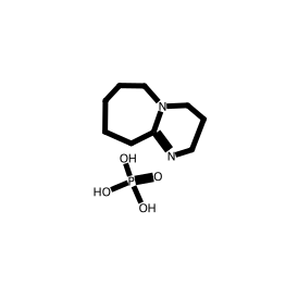 C1CCC2=NCCCN2CC1.O=P(O)(O)O